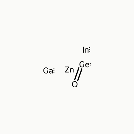 [Ga].[In].[O]=[Ge].[Zn]